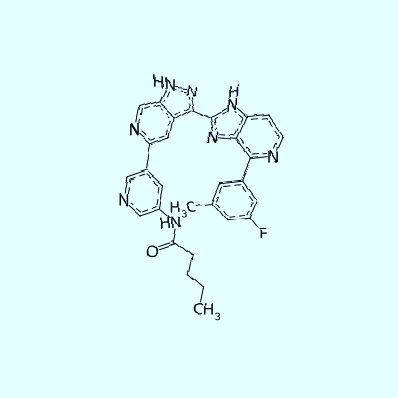 CCCCC(=O)Nc1cncc(-c2cc3c(-c4nc5c(-c6cc(C)cc(F)c6)nccc5[nH]4)n[nH]c3cn2)c1